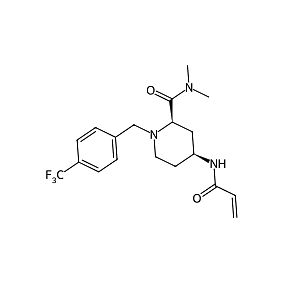 C=CC(=O)N[C@H]1CCN(Cc2ccc(C(F)(F)F)cc2)[C@@H](C(=O)N(C)C)C1